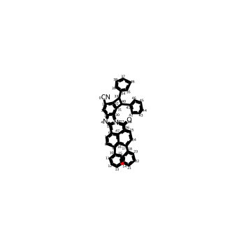 N#Cc1cc2nc3c4ccc(-c5ccccc5)c5c(-c6ccccc6)ccc(c(=O)n3c2c2c1C(c1ccccc1)C2c1ccccc1)c54